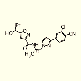 CC(C)C(O)c1cc(C(=O)N[C@@H](C)Cn2ccc(-c3ccc(C#N)c(Cl)c3)n2)no1